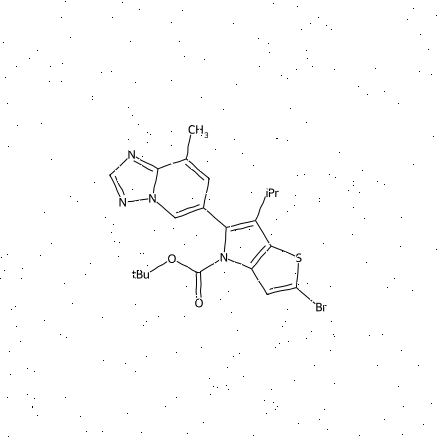 Cc1cc(-c2c(C(C)C)c3sc(Br)cc3n2C(=O)OC(C)(C)C)cn2ncnc12